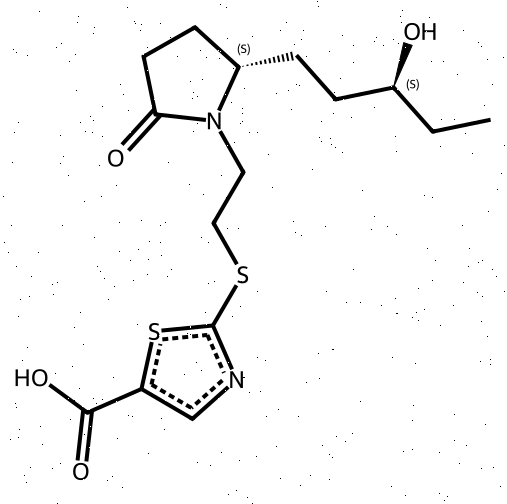 CC[C@H](O)CC[C@H]1CCC(=O)N1CCSc1ncc(C(=O)O)s1